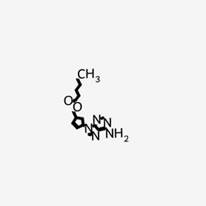 CCCCCC(=O)OCC1C=CC(n2cnc3c(N)ncnc32)C1